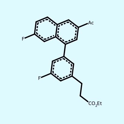 CCOC(=O)CCc1cc(F)cc(-c2cc(C(C)=O)cc3ccc(F)cc23)c1